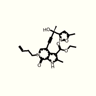 C=CCCn1cc(C#C[C@](C)(O)c2cc(C)on2)c2c(C(=O)OCC)c(C)[nH]c2c1=O